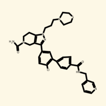 NC(=O)N1CCc2c(c(-c3ccc(Cl)c(-c4ccc(C(=O)NCc5cccnc5)cc4)c3)nn2CCCN2CCSCC2)C1